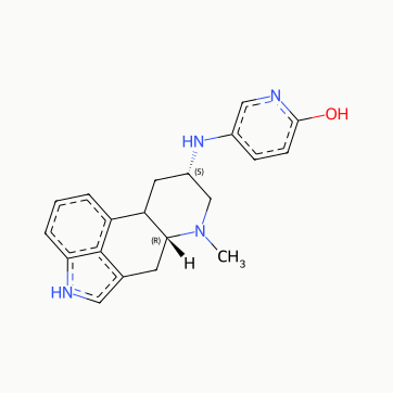 CN1C[C@@H](Nc2ccc(O)nc2)CC2c3cccc4[nH]cc(c34)C[C@H]21